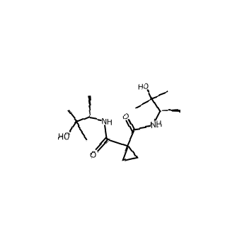 C[C@@H](NC(=O)C1(C(=O)N[C@H](C)C(C)(C)O)CC1)C(C)(C)O